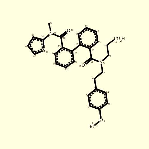 CCOc1ccc(CCN(CCC(=O)O)C(=O)c2ccccc2-c2ccccc2C(=O)N(C)c2cccs2)cc1